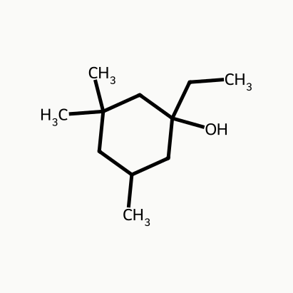 CCC1(O)CC(C)CC(C)(C)C1